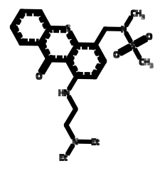 CCN(CC)CCNc1ccc(CN(C)S(C)(=O)=O)c2sc3ccccc3c(=O)c12